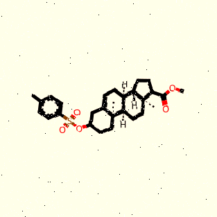 COC(=O)C1CC[C@H]2[C@@H]3CC=C4CC(OS(=O)(=O)c5ccc(C)cc5)CC[C@]4(C)[C@@H]3CC[C@]12C